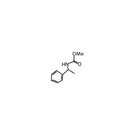 COC(=O)NC(C)c1ccccc1